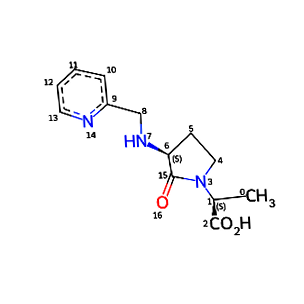 C[C@@H](C(=O)O)N1CC[C@H](NCc2ccccn2)C1=O